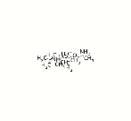 CCC(C)(OC(C)C(C)(C)OCC(C)N)C(C)NC(C)C